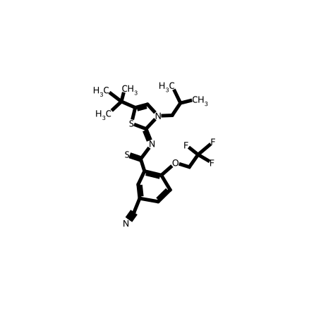 CC(C)Cn1cc(C(C)(C)C)sc1=NC(=S)c1cc(C#N)ccc1OCC(F)(F)F